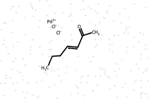 CCCC=CC(C)=O.[Cl-].[Cl-].[Pd+2]